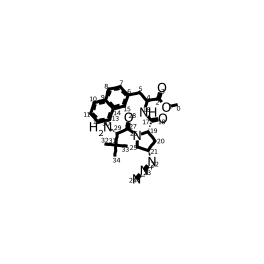 COC(=O)C(Cc1ccc2ccccc2c1)NC(=O)[C@@H]1C[C@H](N=[N+]=[N-])CN1C(=O)[C@@H](N)C(C)(C)C